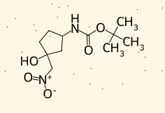 CC(C)(C)OC(=O)NC1CCC(O)(C[N+](=O)[O-])C1